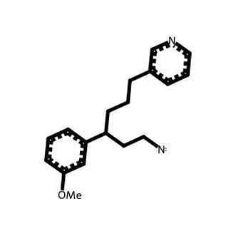 COc1cccc(C(CC[N])CCCc2cccnc2)c1